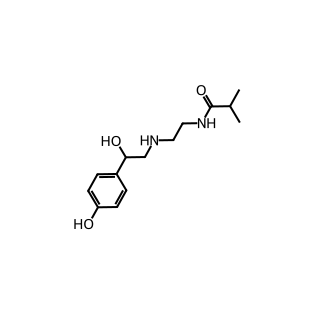 CC(C)C(=O)NCCNCC(O)c1ccc(O)cc1